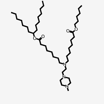 CCCCCCCCC(CCCCCCC)OC(=O)CCCCCCCN(CCCCCCCC(=O)OCCCCCC)CCN1CCN(C)CC1